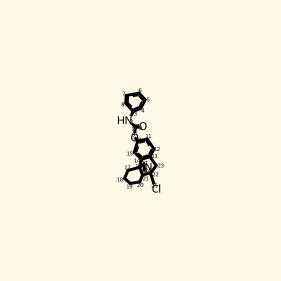 O=C(Nc1ccccc1)Oc1ccc2c(c1)C13CCCCC1C(C2)N(Cl)CC3